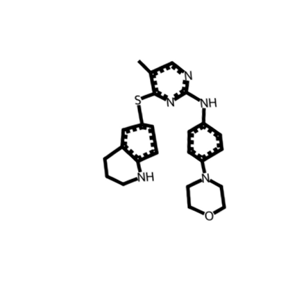 Cc1cnc(Nc2ccc(N3CCOCC3)cc2)nc1Sc1ccc2c(c1)CCCN2